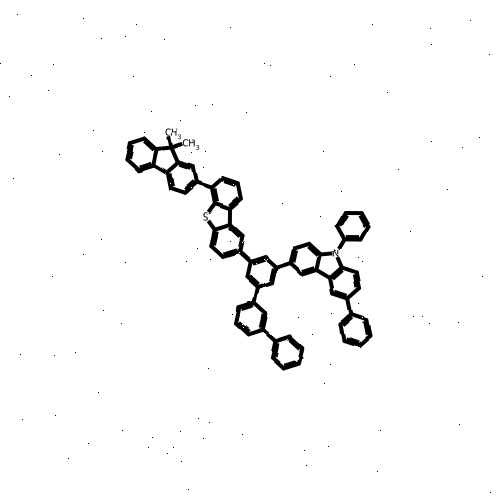 CC1(C)c2ccccc2-c2ccc(-c3cccc4c3sc3ccc(-c5cc(-c6cccc(-c7ccccc7)c6)cc(-c6ccc7c(c6)c6cc(-c8ccccc8)ccc6n7-c6ccccc6)c5)cc34)cc21